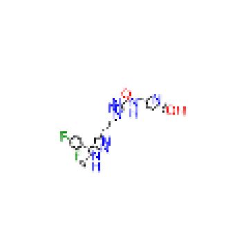 CC(C)(O)c1ccc(CNC(=O)c2cn(CCCCc3cc4c(-c5ccc(F)cc5F)c(C5CC5)[nH]c4nn3)nn2)cn1